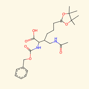 CC(=O)NCC(CCCB1OC(C)(C)C(C)(C)O1)C(NC(=O)OCc1ccccc1)C(=O)O